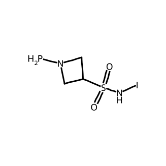 O=S(=O)(NI)C1CN(P)C1